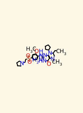 CCC1CN(C)C2=C(N[C@](N)(Nc3ccc(S(=O)(=O)CCN4CCCC4)cc3OC)NC2=O)N1C1CCCC1